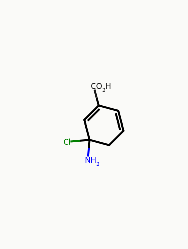 NC1(Cl)C=C(C(=O)O)C=CC1